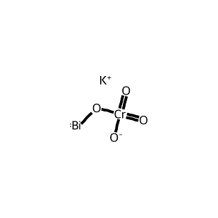 [K+].[O]=[Cr](=[O])([O-])[O][Bi]